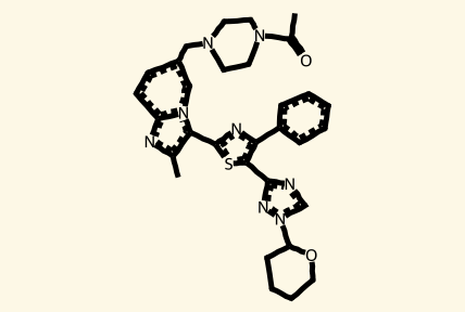 CC(=O)N1CCN(Cc2ccc3nc(C)c(-c4nc(-c5ccccc5)c(-c5ncn(C6CCCCO6)n5)s4)n3c2)CC1